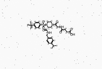 CC(C)c1ccc(CNC(=O)[C@H]2CN(C(=O)CNC(=O)CCC(=O)O)CCN2S(=O)(=O)c2ccc(C(F)(F)F)cc2)cc1